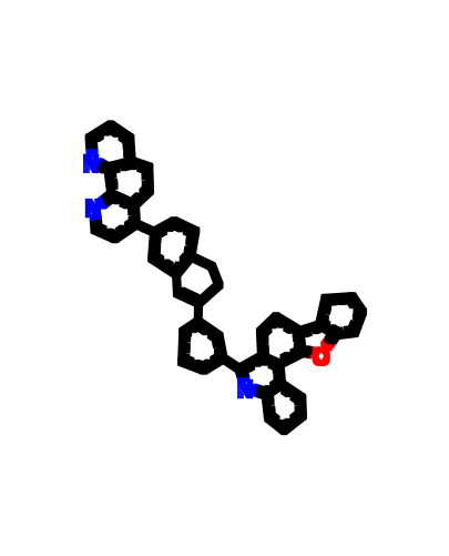 C1=C(c2cccc(-c3nc4ccccc4c4c3ccc3c5ccccc5oc34)c2)CCc2ccc(-c3ccnc4c3ccc3cccnc34)cc21